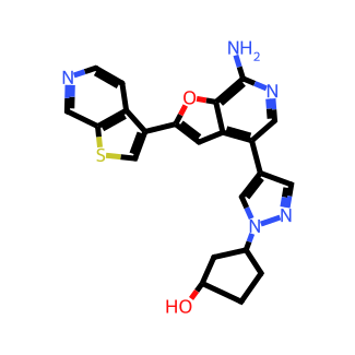 Nc1ncc(-c2cnn(C3CCC(O)C3)c2)c2cc(-c3csc4cnccc34)oc12